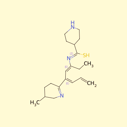 C=C\C=C(/C=C(CC)/N=C(\S)C1CCNCC1)C1=NCC(C)CC1